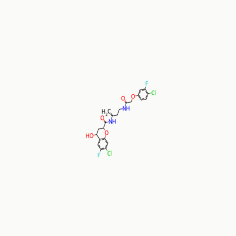 C=C(CCNC(=O)COc1ccc(Cl)c(F)c1)NC(=O)C1CC(O)c2cc(F)c(Cl)cc2O1